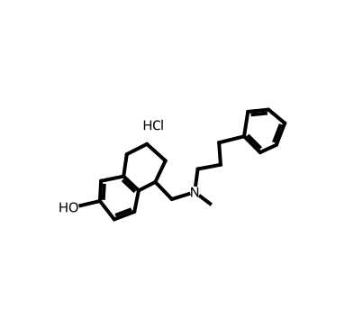 CN(CCCc1ccccc1)CC1CCCc2cc(O)ccc21.Cl